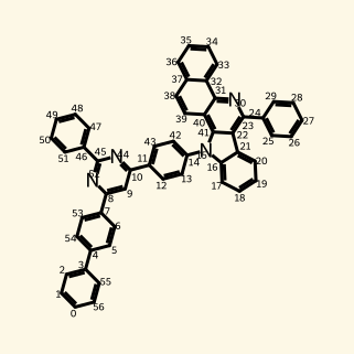 c1ccc(-c2ccc(-c3cc(-c4ccc(-n5c6ccccc6c6c(-c7ccccc7)nc7c8ccccc8ccc7c65)cc4)nc(-c4ccccc4)n3)cc2)cc1